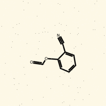 N#Cc1ccccc1O[C]=O